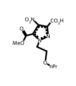 CCCOCCn1nc(C(=O)O)c([N+](=O)[O-])c1C(=O)OC